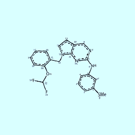 CSc1cccc(Nc2ncc3ccn(Cc4ccccc4OC(F)F)c3n2)c1